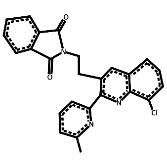 Cc1cccc(-c2nc3c(Cl)cccc3cc2CCN2C(=O)c3ccccc3C2=O)n1